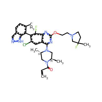 C=CC(=O)N1C[C@H](C)N(c2nc(OCCN3CCC(C)(F)C3)nc3c(F)c(-c4c(C)ccc5cn[nH]c45)c(Cl)cc23)C[C@H]1C